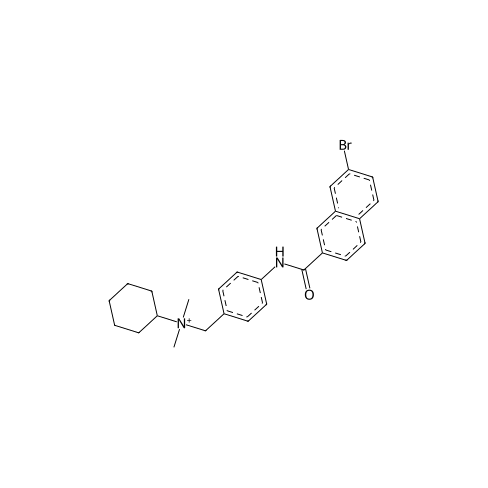 C[N+](C)(Cc1ccc(NC(=O)c2ccc3ccc(Br)cc3c2)cc1)C1CCCCC1